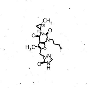 Cc1c(Cn2nc[nH]c2=O)sc2c1c(=O)n([C@H]1C[C@@H]1C)c(=O)n2CCCF